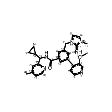 COc1cnccc1-c1cc(Cn2ccn(C)c2=N)cc(C(=O)NC(c2cc(C)ccn2)C2CC2)c1